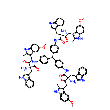 COc1ccc2[nH]c(C)c(CC(=O)[C@](N)(Cc3c[nH]c4ccccc34)C(=O)Nc3ccc(C(c4ccc(NC(=O)[C@@](N)(Cc5c[nH]c6ccccc56)C(=O)Cc5c(C)[nH]c6ccc(OC)cc56)cc4)c4ccc(NC(=O)[C@@](N)(Cc5c[nH]c6ccccc56)C(=O)Cc5c(C)[nH]c6ccc(OC)cc56)cc4)cc3)c2c1